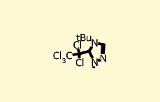 CN1N=CN(C(C)(C)C)C1C(Cl)(Cl)C(Cl)(Cl)Cl